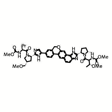 COC[C@H]1C[C@@H](c2ncc(-c3ccc4c(c3)COc3cc5c(ccc6nc([C@@H]7CC[C@H](C)N7C(=O)C(NC(=O)OC)[C@@H](C)OC)[nH]c65)cc3-4)[nH]2)N(C(=O)[C@@H](NC(=O)OC)C(C)C)C1